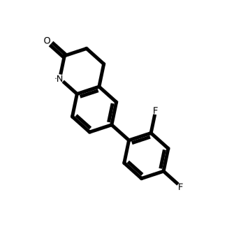 O=C1CCc2cc(-c3ccc(F)cc3F)ccc2[N]1